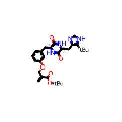 C=C(COc1cccc(/C=c2\[nH]c(=O)/c(=C/c3nc[nH]c3C(C)(C)C)[nH]c2=O)c1)C(=O)OC(C)(C)C